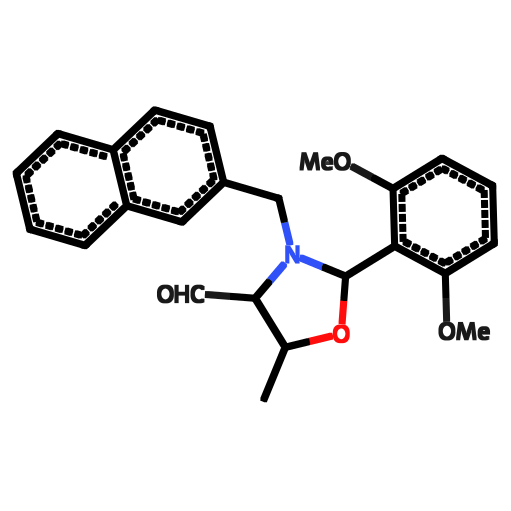 COc1cccc(OC)c1C1OC(C)C(C=O)N1Cc1ccc2ccccc2c1